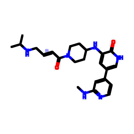 CNc1cc(-c2c[nH]c(=O)c(NC3CCN(C(=O)/C=C/CNC(C)C)CC3)c2)ccn1